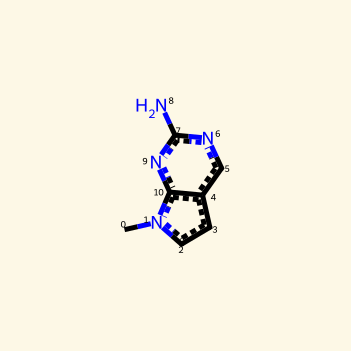 Cn1ccc2cnc(N)nc21